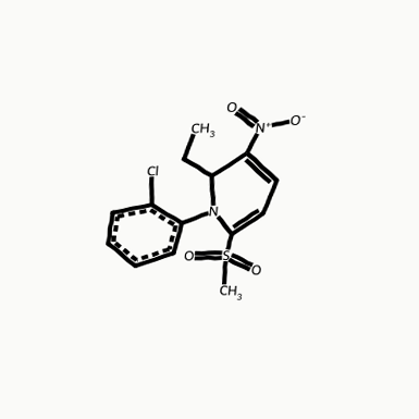 CCC1C([N+](=O)[O-])=CC=C(S(C)(=O)=O)N1c1ccccc1Cl